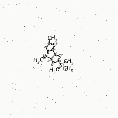 Cc1cc2c(s1)-c1sc([Si](C)(C)C)cc1C2C